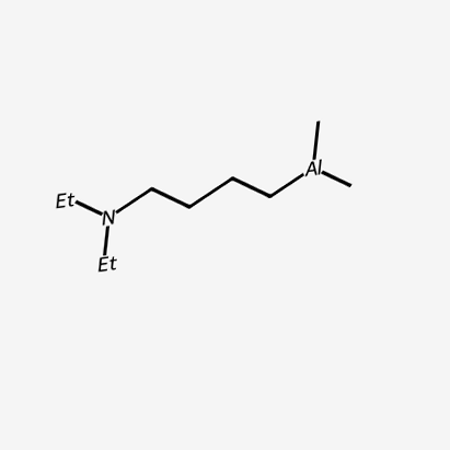 CCN(CC)CCC[CH2][Al]([CH3])[CH3]